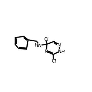 ClC1=NC(Cl)(NCc2ccccc2)C=NN1